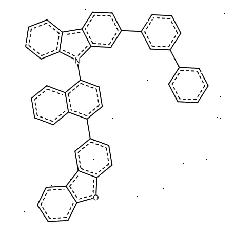 c1ccc(-c2cccc(-c3ccc4c5ccccc5n(-c5ccc(-c6ccc7oc8ccccc8c7c6)c6ccccc56)c4c3)c2)cc1